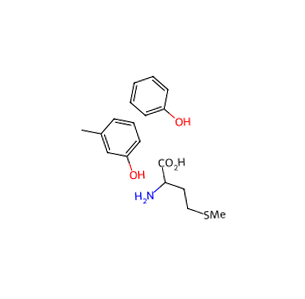 CSCCC(N)C(=O)O.Cc1cccc(O)c1.Oc1ccccc1